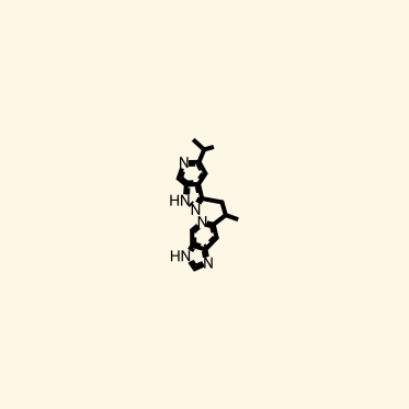 CC(C)c1cc2c(CC(C)c3cc4nc[nH]c4cn3)n[nH]c2cn1